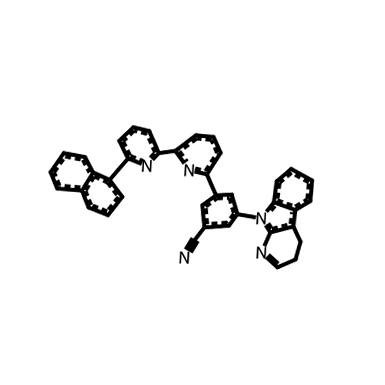 N#Cc1cc(-c2cccc(-c3cccc(-c4cccc5ccccc45)n3)n2)cc(-n2c3c(c4ccccc42)CCC=N3)c1